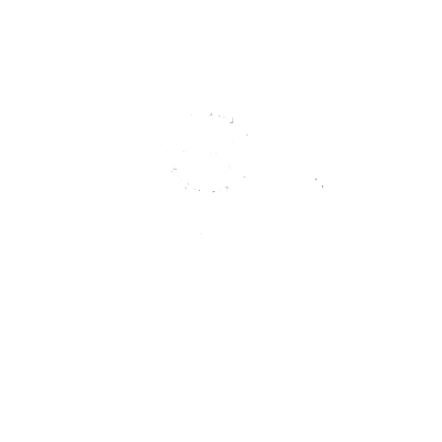 CC(N(C)C)[C]12[CH]3[CH]4[C]5(C)[C]1(P(c1ccccc1)c1ccccc1)[Fe]43521678[CH]2[CH]1[CH]6[CH]7[CH]28